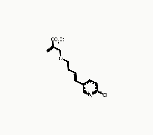 C=C(COCCC=Cc1ccc(Cl)nc1)C(=O)OCC